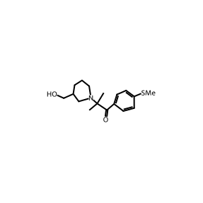 CSc1ccc(C(=O)C(C)(C)N2CCCC(CO)C2)cc1